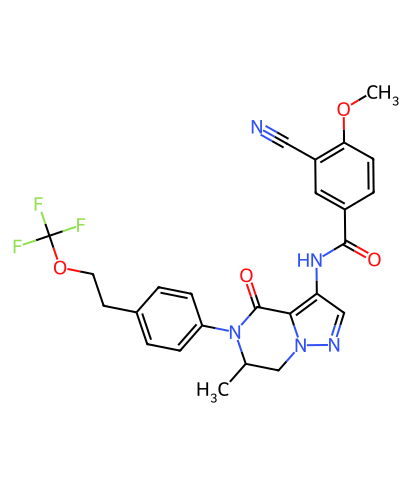 COc1ccc(C(=O)Nc2cnn3c2C(=O)N(c2ccc(CCOC(F)(F)F)cc2)C(C)C3)cc1C#N